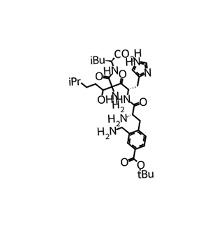 CC[C@H](C)[C@H](NC(=O)C(N)(C(=O)[C@H](Cc1c[nH]cn1)NC(=O)[C@@H](N)Cc1ccc(C(=O)OC(C)(C)C)cc1CN)C(O)CCC(C)C)C(=O)O